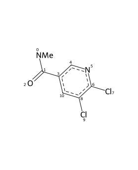 CNC(=O)c1cnc(Cl)c(Cl)c1